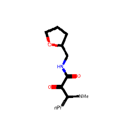 CCCC(NC)C(=O)C(=O)NCC1CCCO1